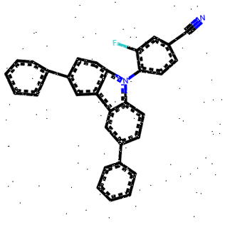 N#Cc1ccc(-n2c3ccc(-c4ccccc4)cc3c3cc(-c4ccccc4)ccc32)c(F)c1